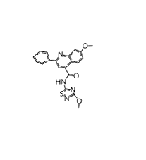 COc1ccc2c(C(=O)Nc3nc(OC)ns3)cc(-c3ccccc3)nc2c1